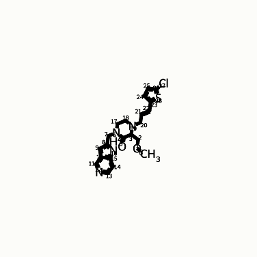 COCC1C(=O)N(Cc2cc3cnccc3[nH]2)CCN1C/C=C/c1ccc(Cl)s1